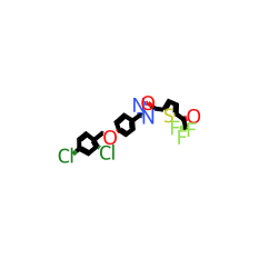 O=C(c1ccc(-c2nc(-c3ccc(OCc4ccc(Cl)cc4Cl)cc3)no2)s1)C(F)(F)F